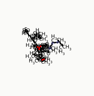 COC(=O)[C@@H](C)NC(=O)[C@@H](C)NC(=O)[C@H](CCCCNC(=O)C(F)(F)F)NC(=O)CC[C@@H](NC(=O)[C@H](C)NC(=O)[C@@H](C)O[C@@H]1C(NC(C)=O)[C@@H](OP(=O)(O)OP(=O)(O)OC/C=C(/C)CC/C=C(/C)CC/C=C(\C)CCC=C(C)C)OC(COC(C)=O)[C@H]1O[C@@H]1O[C@@H](COC(C)=O)[C@@H](OC(C)=O)C(OC(C)=O)C1NC(C)=O)C(N)=O